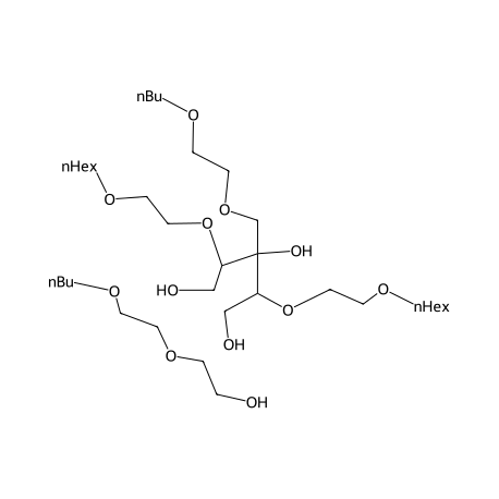 CCCCCCOCCOC(CO)C(O)(COCCOCCCC)C(CO)OCCOCCCCCC.CCCCOCCOCCO